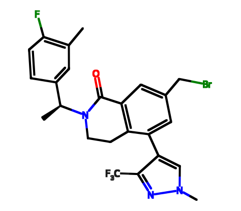 Cc1cc([C@H](C)N2CCc3c(cc(CBr)cc3-c3cn(C)nc3C(F)(F)F)C2=O)ccc1F